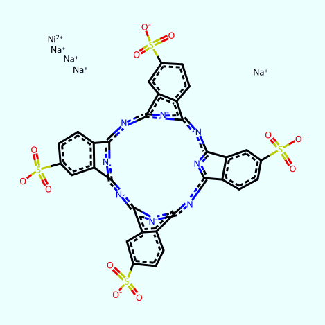 O=S(=O)([O-])c1ccc2c(c1)-c1nc-2nc2[n-]c(nc3nc(nc4[n-]c(n1)c1ccc(S(=O)(=O)[O-])cc41)-c1ccc(S(=O)(=O)[O-])cc1-3)c1cc(S(=O)(=O)[O-])ccc21.[Na+].[Na+].[Na+].[Na+].[Ni+2]